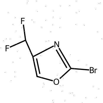 FC(F)c1coc(Br)n1